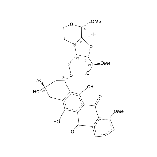 COc1cccc2c1C(=O)c1c(O)c3c(c(O)c1C2=O)C[C@@](O)(C(C)=O)C[C@@H]3OC[C@H]1[C@@H]([C@H](C)OC)O[C@@H]2[C@@H](OC)OCCN21